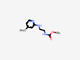 COc1ccnc(NCCNC(=O)OC(C)(C)C)c1